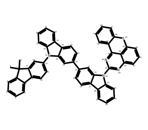 CC1(C)c2ccccc2-c2ccc(-n3c4ccccc4c4ccc(-c5ccc6c7ccccc7n(-c7nc8c9c(cccc9n7)Sc7ccccc7-8)c6c5)cc43)cc21